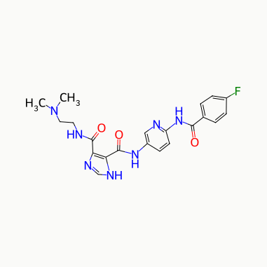 CN(C)CCNC(=O)c1nc[nH]c1C(=O)Nc1ccc(NC(=O)c2ccc(F)cc2)nc1